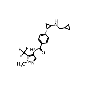 Cn1ncc(NC(=O)c2ccc([C@@H]3C[C@H]3NCC3CC3)cc2)c1C(F)(F)F